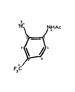 CC(=O)Nc1ccc(C(F)(F)F)cc1C#N